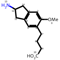 COc1cc2c(cc1CCCC(=O)O)CC(N)C2